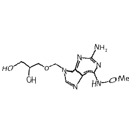 CONc1nc(N)nc2c1ncn2COCC(O)CO